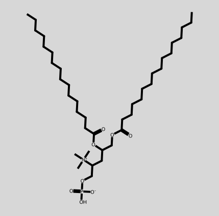 CCCCCCCCCCCCCCCC(=O)OCC(CC(COP(=O)([O-])O)[N+](C)(C)C)OC(=O)CCCCCCCCCCCCCCC